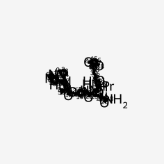 Cc1cccc(-c2nc(CN(C(=O)OCc3ccc(NC(=O)C(CCCNC(N)=O)NC(=O)C(NC(=O)CCCCCN4C(=O)C=CC4=O)C(C)C)cc3)C3CC3)[nH]c2-c2ccc3ncnn3c2)n1